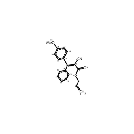 C=CCOC(=O)C(C#N)=C(c1ccccc1)c1ccc(OC)cc1